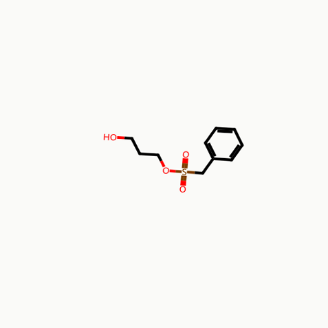 O=S(=O)(Cc1ccccc1)OCCCO